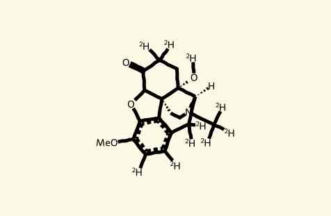 [2H]O[C@@]12CC([2H])([2H])C(=O)C3Oc4c(OC)c([2H])c([2H])c5c4[C@@]31CCN(C([2H])([2H])[2H])[C@@H]2C5([2H])[2H]